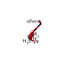 CCCCC/C=C\C/C=C\CCCCCCCCCCCC(=O)O[C@H]1CC[C@@]2(C)C(=CC[C@H]3[C@@H]4CC[C@H]([C@H](C)CCCC(C)C)[C@@]4(C)CC[C@@H]32)C1